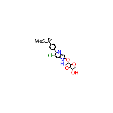 CSCC1(c2ccc(-c3nc4cc(OC5COC6C(O)COC56)[nH]c4cc3Cl)cc2)CC1